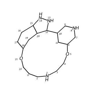 C1CNCCOC2CNCC(C2)C2NNC3CCC(CC32)OC1